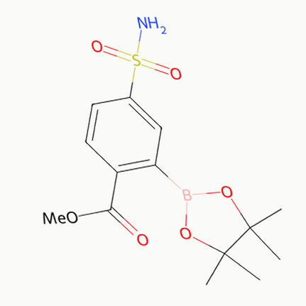 COC(=O)c1ccc(S(N)(=O)=O)cc1B1OC(C)(C)C(C)(C)O1